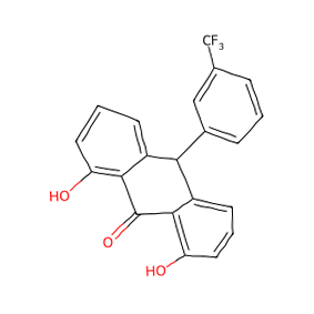 O=C1c2c(O)cccc2C(c2cccc(C(F)(F)F)c2)c2cccc(O)c21